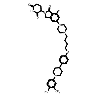 N#Cc1ccc(N2CCC(c3ccc(OCCCCN4CCN(c5cc(Cl)c6c(c5)CN(C5CCC(=O)NC5=O)C6=O)CC4)cc3)CC2)cc1C(F)(F)F